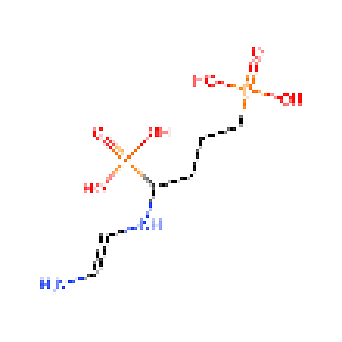 NC=CNC(CCCP(=O)(O)O)P(=O)(O)O